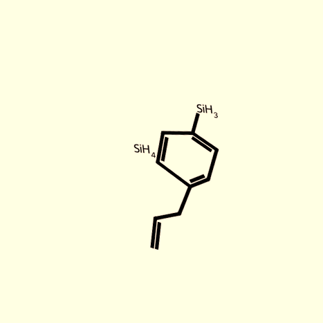 C=CCc1ccc([SiH3])cc1.[SiH4]